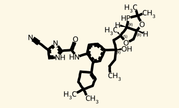 CCC[C@@](O)(C[C@]1(C)OC[C@H]2OC(C)(C)P[C@H]21)c1ccc(NC(=O)c2nc(C#N)c[nH]2)c(C2=CCC(C)(C)CC2)c1